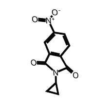 O=C1c2ccc([N+](=O)[O-])cc2C(=O)N1C1CC1